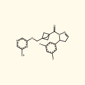 N#Cc1cncc(OCC23CC(C(=O)N4N=CCC4c4cc(F)cc(F)c4)(C2)C3)n1